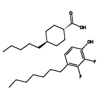 CCCCCCCc1ccc(O)c(F)c1F.CCCCC[C@H]1CC[C@H](C(=O)O)CC1